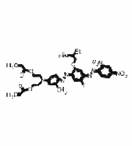 C=CC(=O)OCCN(CCOC(=O)C=C)c1ccc(/N=N/c2cc(I)c(/N=N/c3ccc([N+](=O)[O-])cc3[N+](=O)[O-])cc2OCC(CC)CCCC)c(C)c1